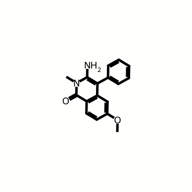 COc1ccc2c(=O)n(C)c(N)c(-c3ccccc3)c2c1